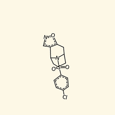 O=S(=O)(c1ccc(Cl)cc1)N1C2CCCC1c1cnoc1C2